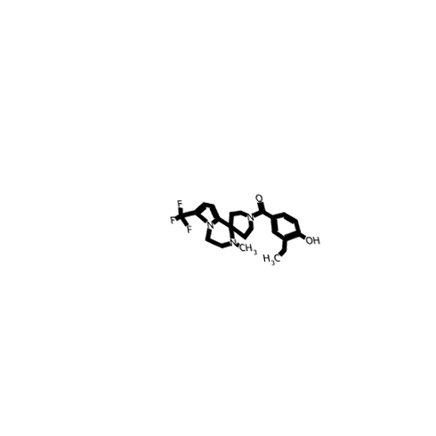 CCc1cc(C(=O)N2CCC3(CC2)c2ccc(C(F)(F)F)n2CCN3C)ccc1O